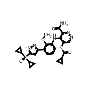 COc1c(Nc2c(NC(=O)C3CC3)cnnc2C(N)=O)cccc1-c1cc(P(=O)(C2CC2)C2CC2)[nH]n1